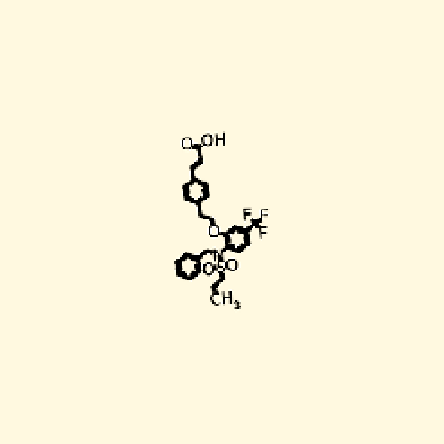 CCCS(=O)(=O)N(Cc1ccccc1)c1ccc(C(F)(F)F)cc1OCCc1ccc(C=CC(=O)O)cc1